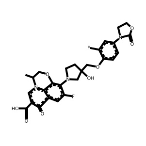 CC1COc2c(N3CCC(O)(COc4ccc(N5CCOC5=O)cc4F)C3)c(F)cc3c(=O)c(C(=O)O)cn1c23